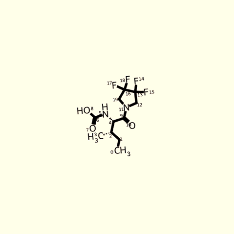 CC[C@H](C)[C@H](NC(=O)O)C(=O)N1CC(F)(F)C(F)(F)C1